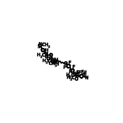 Cc1ncsc1-c1ccc([C@H](C)NC(=O)C2CCCN2C(=O)C(NC(=O)COCCCCOc2c(F)cc(-c3ncc(N4C(=S)N(c5ccc(C#N)c(C(F)(F)F)c5F)C(=O)C4(C)C)cc3F)cc2F)C(C)(C)C)cc1